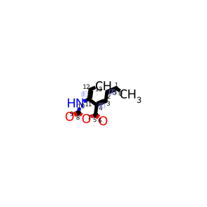 C\C=C/C=c1/c(=O)oc(=O)[nH]/c1=C/C